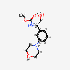 CC(C)(C)OC(=O)N[C@@H](CO)c1cccc(N2CCOCC2)c1